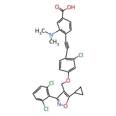 CN(C)c1cc(C(=O)O)ccc1C#Cc1ccc(OCc2c(-c3c(Cl)cccc3Cl)noc2C2CC2)cc1Cl